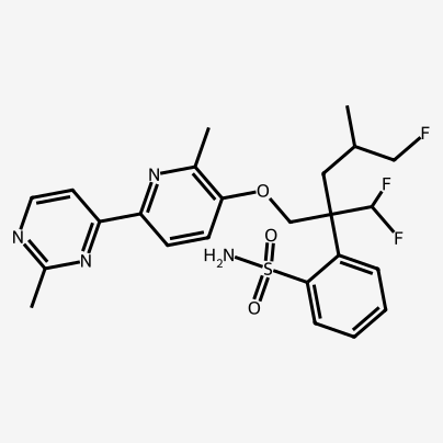 Cc1nccc(-c2ccc(OCC(CC(C)CF)(c3ccccc3S(N)(=O)=O)C(F)F)c(C)n2)n1